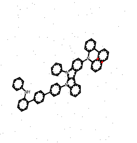 c1ccc(Nc2ccccc2-c2ccc(-c3ccc(-n4c5ccccc5c5c6cc(N(c7ccccc7)c7ccccc7-c7ccccc7)ccc6n(-c6ccccc6)c54)cc3)cc2)cc1